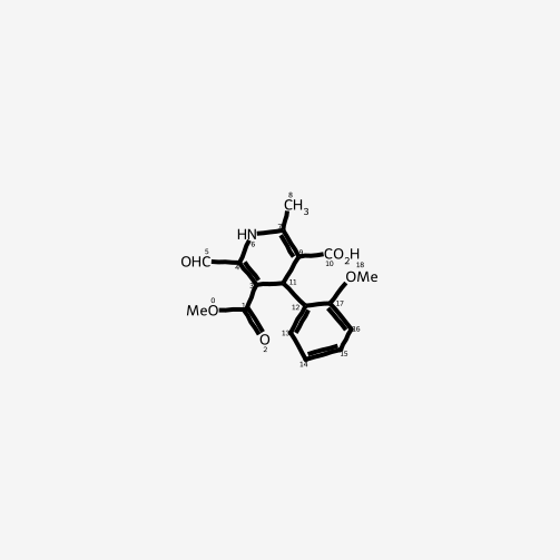 COC(=O)C1=C(C=O)NC(C)=C(C(=O)O)C1c1ccccc1OC